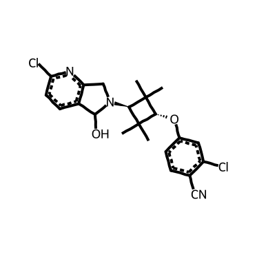 CC1(C)[C@H](Oc2ccc(C#N)c(Cl)c2)C(C)(C)[C@H]1N1Cc2nc(Cl)ccc2C1O